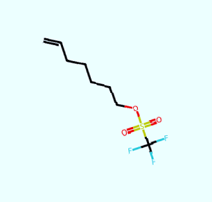 C=CCCCCCOS(=O)(=O)C(F)(F)F